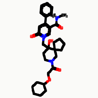 CN(C)C(=O)c1cn(CC2(O)CCN(C(=O)COC3CCCCC3)CC23CCCC3)c(=O)cc1-c1ccccc1